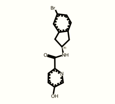 O=C(N[C@@H]1Cc2ccc(Br)cc2C1)c1ccc(O)cn1